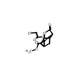 COC(=O)C1(OC(=O)CCl)C2CC3OC(=O)C1C3C2